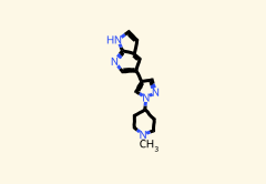 CN1CCC(n2cc(-c3cnc4[nH]ccc4c3)cn2)CC1